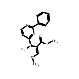 CO/C=C(/C(=O)OC)N(C)c1ccnc(-c2ccccc2)n1